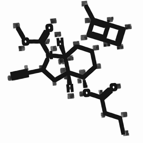 C#CC1C[C@H]2[C@@H](OC(=O)CCC)CCC[C@H]2N1C(=O)OC.Cc1cc2ccc1-2